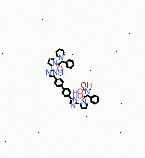 CN(C(=O)O)[C@@H](C(=O)N1CCC[C@H]1c1ncc(-c2ccc(-c3ccc(-c4cnc([C@@H]5CCCN5C(=O)[C@@H](c5ccccc5)N5CCCCC5)[nH]4)cc3)cc2)[nH]1)c1ccccc1